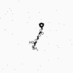 BOCC(O)COCCOCC(=O)OCc1ccccc1